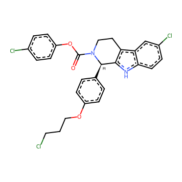 O=C(Oc1ccc(Cl)cc1)N1CCc2c([nH]c3ccc(Cl)cc23)[C@H]1c1ccc(OCCCCl)cc1